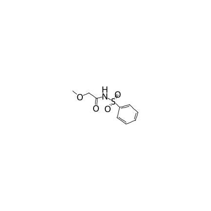 COCC(=O)NS(=O)(=O)c1ccccc1